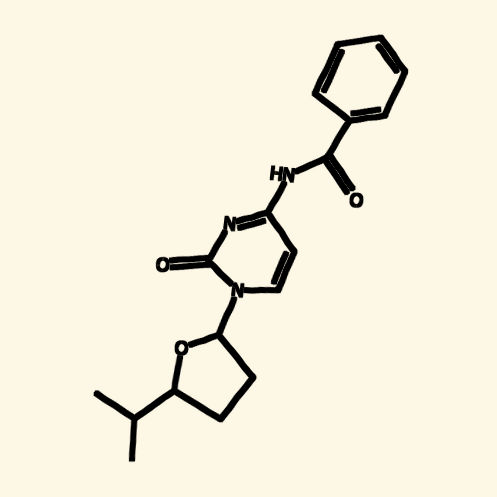 CC(C)C1CCC(n2ccc(NC(=O)c3ccccc3)nc2=O)O1